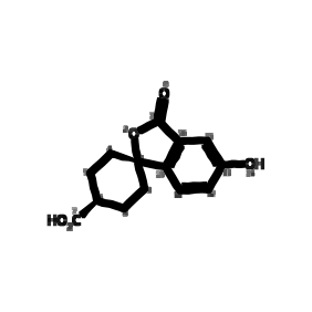 O=C1O[C@]2(CC[C@H](C(=O)O)CC2)c2ccc(O)cc21